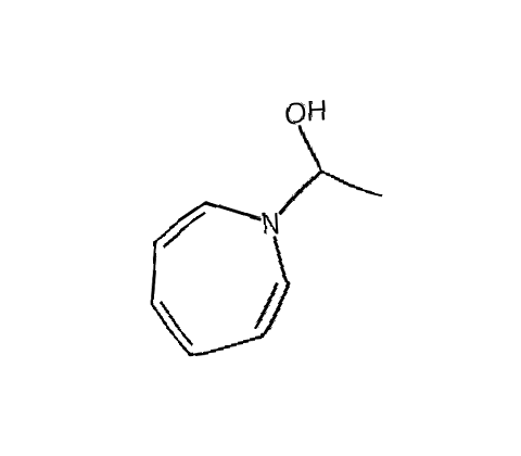 CC(O)N1C=CC=CC=C1